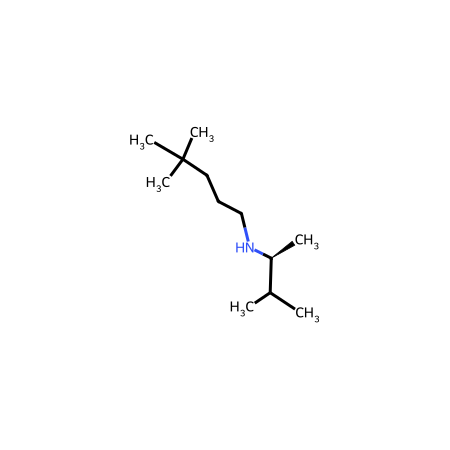 CC(C)[C@H](C)NCCCC(C)(C)C